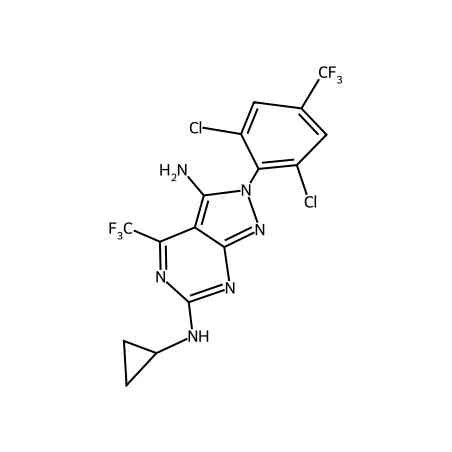 Nc1c2c(C(F)(F)F)nc(NC3CC3)nc2nn1-c1c(Cl)cc(C(F)(F)F)cc1Cl